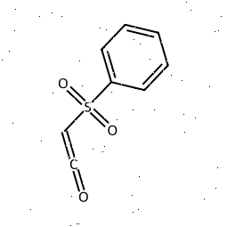 O=C=CS(=O)(=O)c1ccccc1